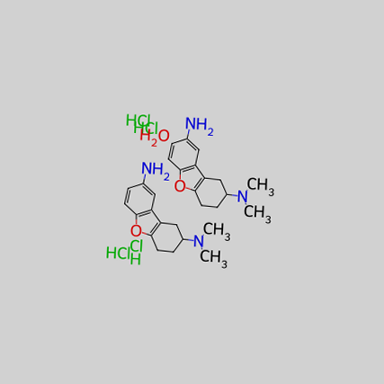 CN(C)C1CCc2oc3ccc(N)cc3c2C1.CN(C)C1CCc2oc3ccc(N)cc3c2C1.Cl.Cl.Cl.Cl.O